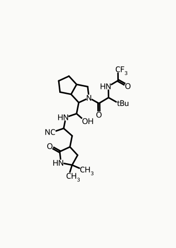 CC1(C)CC(CC(C#N)NC(O)C2C3CCCC3CN2C(=O)C(NC(=O)C(F)(F)F)C(C)(C)C)C(=O)N1